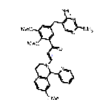 COc1ccc2c(c1)C(c1ccccn1)N(/C=C/C(=O)c1cc(Cc3cnc(N)nc3N)cc(OC)c1OC)CC2